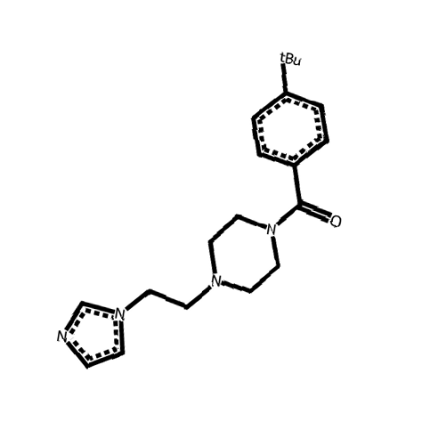 CC(C)(C)c1ccc(C(=O)N2CCN(CCn3ccnc3)CC2)cc1